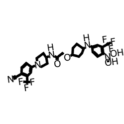 N#Cc1ccc(N2CCC(NC(=O)COC3CCC(Nc4ccc(N(O)O)c(C(F)(F)F)c4)CC3)CC2)cc1C(F)(F)F